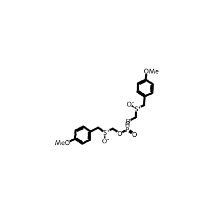 COc1ccc(C[S@+]([O-])CO[PH](=O)OC[S@@+]([O-])Cc2ccc(OC)cc2)cc1